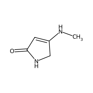 CNC1=CC(=O)NC1